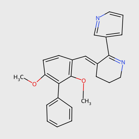 COc1ccc(C=C2CCCN=C2c2cccnc2)c(OC)c1-c1ccccc1